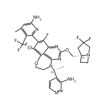 Cc1cc(N)nc(-c2c(Cl)c3c4c(nc(OC[C@@]56CCN5CC(F)(F)C6)nc4c2F)N([C@H](C)c2ccnnc2N)CCO3)c1C(F)(F)F